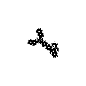 C=Nc1c(N2C=CC=CC2)c(-c2ccc(-c3ccc(-c4nc(-c5ccc6ccccc6c5)nc(-c5ccc6ccccc6c5)n4)cc3)cc2)nc2ccccc12